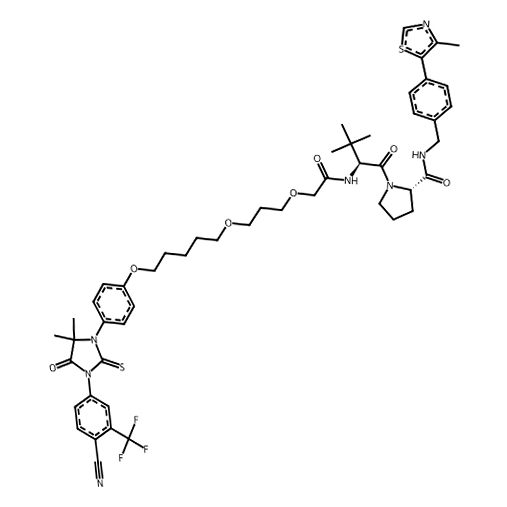 Cc1ncsc1-c1ccc(CNC(=O)[C@@H]2CCCN2C(=O)[C@@H](NC(=O)COCCCOCCCCCOc2ccc(N3C(=S)N(c4ccc(C#N)c(C(F)(F)F)c4)C(=O)C3(C)C)cc2)C(C)(C)C)cc1